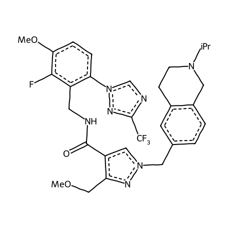 COCc1nn(Cc2ccc3c(c2)CCN(C(C)C)C3)cc1C(=O)NCc1c(-n2cnc(C(F)(F)F)n2)ccc(OC)c1F